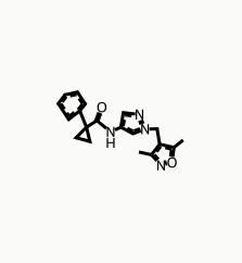 Cc1noc(C)c1Cn1cc(NC(=O)C2(c3ccccc3)CC2)cn1